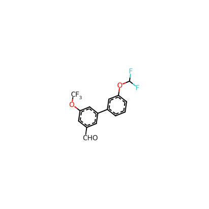 O=Cc1cc(OC(F)(F)F)cc(-c2cccc(OC(F)F)c2)c1